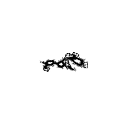 CCOc1ccc(-c2ccc(C)c(C=O)c2)cc1CNC(=O)c1ccc(Cl)cc1F